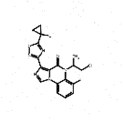 CCC(C)n1c(=O)c2c(-c3noc(C4(O)CC4)n3)ncn2c2cccc(F)c21